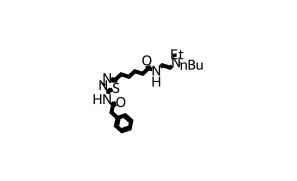 CCCCN(CC)CCNC(=O)CCCCc1nnc(NC(=O)Cc2ccccc2)s1